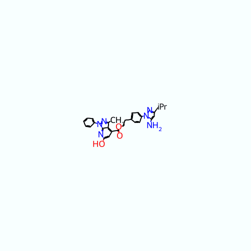 Cc1nn(-c2ccccc2)c2nc(O)cc(C(=O)OCCc3ccc(-n4nc(C(C)C)cc4N)cc3)c12